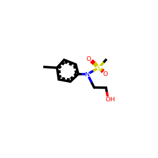 Cc1ccc(N(CCO)S(C)(=O)=O)cc1